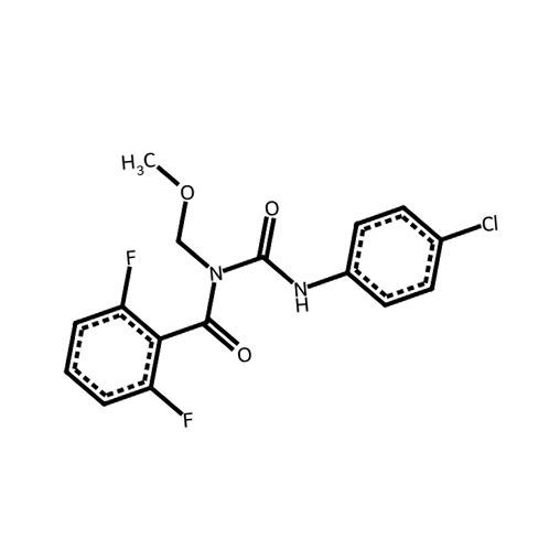 COCN(C(=O)Nc1ccc(Cl)cc1)C(=O)c1c(F)cccc1F